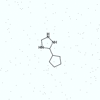 C1CCC(C2NCNN2)C1